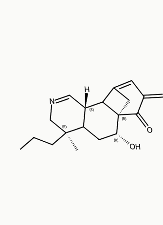 C=C1C=C2C[C@@]3(C1=O)C2[C@H]1C=NC[C@](C)(CCC)C1C[C@H]3O